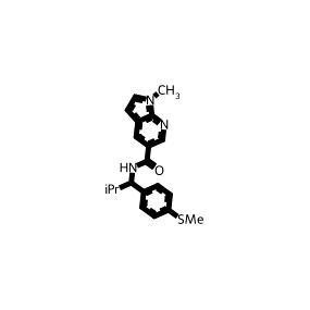 CSc1ccc(C(NC(=O)c2cnc3c(ccn3C)c2)C(C)C)cc1